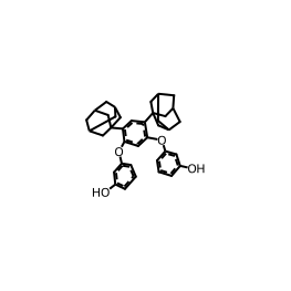 Oc1cccc(Oc2cc(Oc3cccc(O)c3)c(C34CC5CC(CC(C5)C3)C4)cc2C23CC4CC(CC(C4)C2)C3)c1